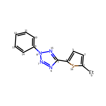 CCc1ccc(-c2nnn(-c3ccccc3)n2)s1